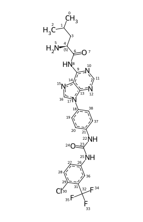 CC(C)C[C@H](N)C(=O)Nc1ncnc2c1ncn2-c1ccc(NC(=O)Nc2ccc(Cl)c(C(F)(F)F)c2)cc1